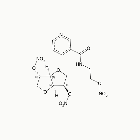 O=C(NCCO[N+](=O)[O-])c1cccnc1.O=[N+]([O-])O[C@H]1CO[C@H]2[C@@H]1OC[C@H]2O[N+](=O)[O-]